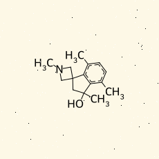 Cc1ccc(C)c2c1C(C)(O)CC21CN(C)C1